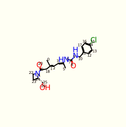 C/C(=C\C=C(/C)NC(=O)NCc1ccc(Cl)cc1)CC(=O)N1CC[C@H]1CO